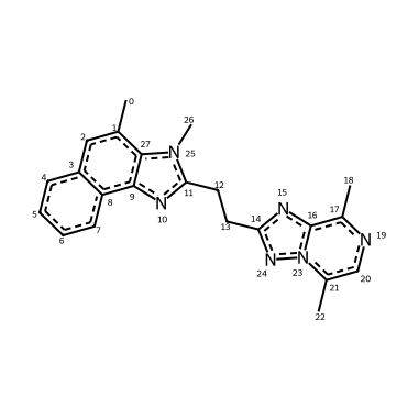 Cc1cc2ccccc2c2nc(CCc3nc4c(C)ncc(C)n4n3)n(C)c12